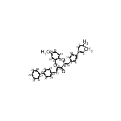 C/C=C\C(=C/C)c1ccc(/C=C2\Oc3ccc(C)cc3O/C(=C\c3ccc(-c4ccccc4)cc3)C2=O)cc1